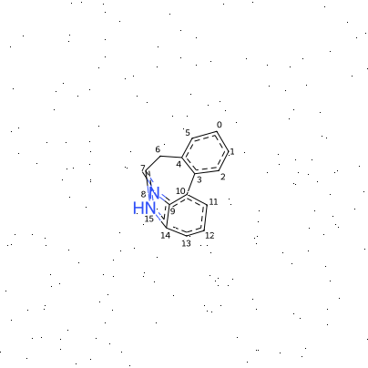 c1ccc2c(c1)Cc1nc3c-2cccc3[nH]1